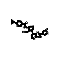 Cn1cc(-c2nc3c(-c4cccc(NC(=O)c5ccc(C6CC6)nc5)c4CO)ccnc3[nH]2)cn1